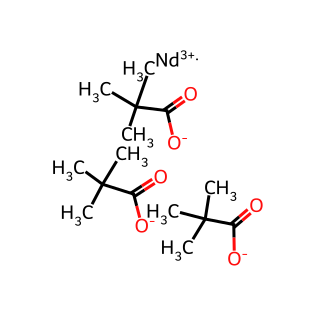 CC(C)(C)C(=O)[O-].CC(C)(C)C(=O)[O-].CC(C)(C)C(=O)[O-].[Nd+3]